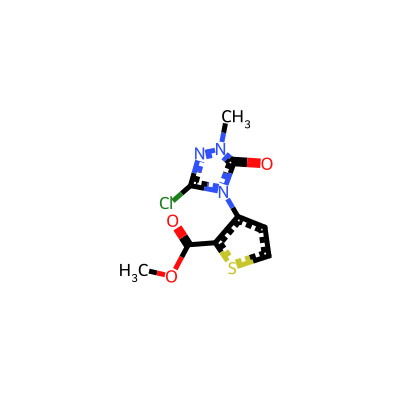 COC(=O)c1sccc1-n1c(Cl)nn(C)c1=O